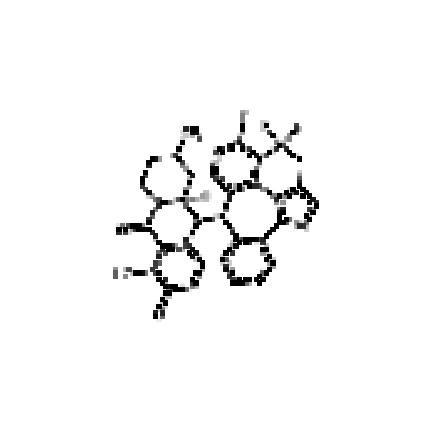 O=C1c2c(O)c(=O)ccn2N([C@@H]2c3ccccc3-c3scc4c3-c3c2ccc(F)c3C(F)(F)C4)[C@@H]2CC(C(F)(F)F)CCN12